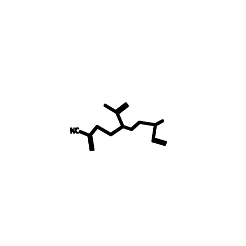 C=CC(C)CCC(CCC(=C)C#N)C(=C)C